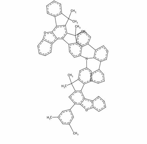 Cc1cc(C)cc(-c2cc3c(c4c2oc2ccccc24)-c2ccc(N(c4ccc5c(c4)C(C)(C)c4c6c(c7oc8ccccc8c7c4-5)-c4ccccc4C6(C)C)c4c(-c5ccccc5)cccc4-c4ccccc4)cc2C3(C)C)c1